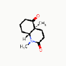 CN1C(=O)CC[C@]2(C)C(=O)CCC[C@@H]12